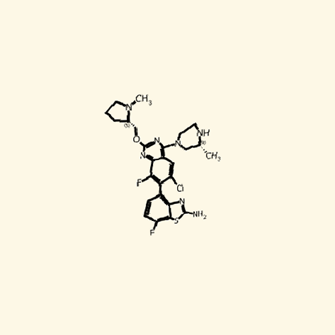 C[C@@H]1CN(c2nc(OC[C@@H]3CCCN3C)nc3c(F)c(-c4ccc(F)c5sc(N)nc45)c(Cl)cc23)CCN1